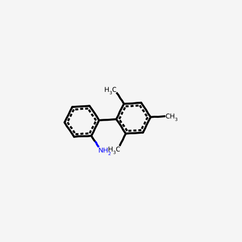 Cc1cc(C)c(-c2ccccc2N)c(C)c1